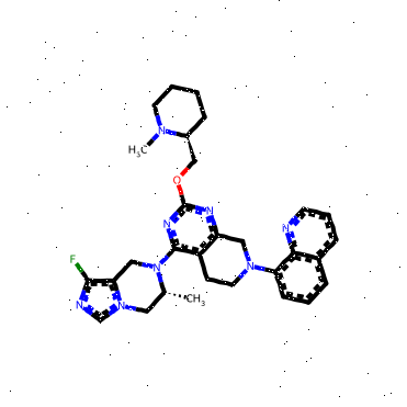 C[C@@H]1Cn2cnc(F)c2CN1c1nc(OC[C@@H]2CCCCN2C)nc2c1CCN(c1cccc3cccnc13)C2